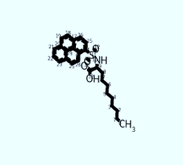 CCCCCCCCCC(NS(=O)(=O)c1ccc2ccc3cccc4ccc1c2c34)C(=O)O